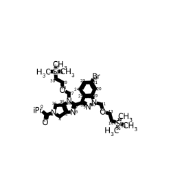 CC(C)C(=O)N1Cc2nc(-c3nn(COCC[Si](C)(C)C)c4cc(Br)ccc34)n(COCC[Si](C)(C)C)c2C1